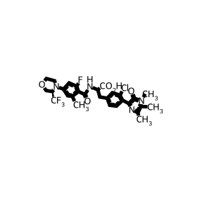 Cc1cc(N2CCOC[C@@H]2C(F)(F)F)cc(F)c1C(=O)NC(Cc1ccc(-c2nc(C)c(C)n(C)c2=O)c(Cl)c1)C(=O)O